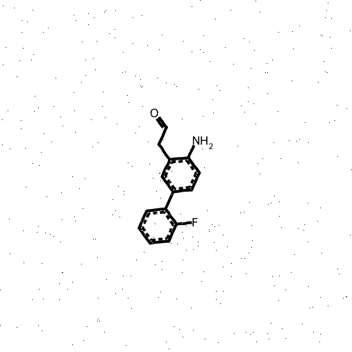 Nc1ccc(-c2ccccc2F)cc1CC=O